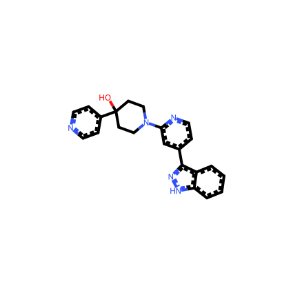 OC1(c2ccncc2)CCN(c2cc(-c3n[nH]c4ccccc34)ccn2)CC1